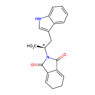 O=C(O)[C@@H](Cc1c[nH]c2ccccc12)N1C(=O)C2=CCCC=C2C1=O